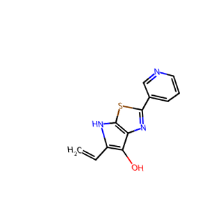 C=Cc1[nH]c2sc(-c3cccnc3)nc2c1O